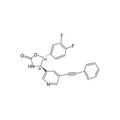 O=C1N[C@H](c2cncc(C#Cc3ccccc3)c2)[C@@H](c2ccc(F)c(F)c2)O1